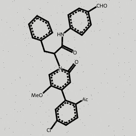 COc1cn(C(Cc2ccccc2)C(=O)Nc2ccc(C=O)cc2)c(=O)cc1-c1cc(Cl)ccc1C(C)=O